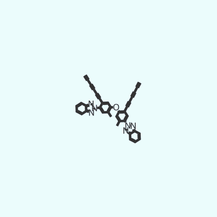 C#CC#CC#Cc1cc(-n2nc3ccccc3n2)c(C)cc1Oc1cc(C#CC#CC#C)c(-n2nc3ccccc3n2)cc1C